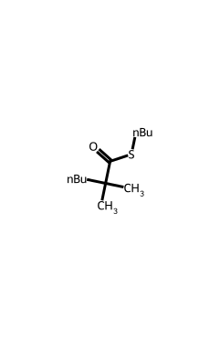 CCCCSC(=O)C(C)(C)CCCC